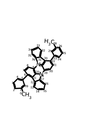 Cc1cccc(-c2ccc3c4c2c2ccccc2n4c2ccc(-c4cccc(C)c4)c4c5ccccc5n3c42)c1